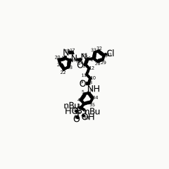 CCCCC(CCCC)(c1ccc(NC(=O)CCCc2oc(-n3cnc4ccccc43)nc2-c2ccc(Cl)cc2)cc1)P(=O)(O)O